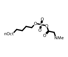 CCCCCCCCCCCCOS(=O)(=O)OC(=O)CNC